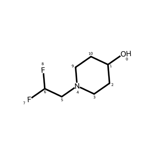 OC1CCN(CC(F)F)CC1